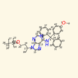 COc1ccc(C(Nc2ncnc3c2ncn3C(C)CCO[Si](C)(C)C(C)(C)C)(c2ccccc2)c2ccccc2)cc1